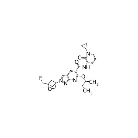 CC[C@H](C)Oc1nc2nn(C34COC(CF)(C3)C4)cc2cc1C(=O)Nc1cccn(C2CC2)c1=O